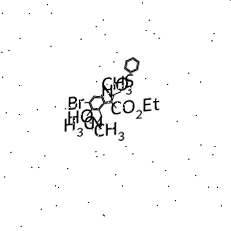 CCOC(=O)c1c(COSc2ccccc2)n(C)c2cc(Br)c(O)c(CN(C)C)c12